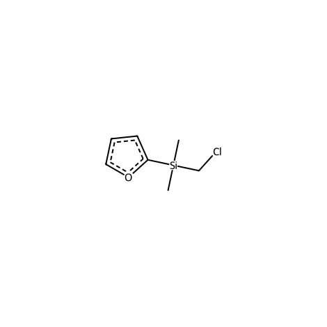 C[Si](C)(CCl)c1ccco1